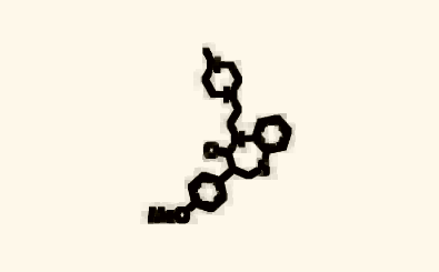 COc1ccc(C2CSc3ccccc3N(CCN3CCN(C)CC3)C2=O)cc1